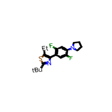 CCc1sc(C(C)(C)C)nc1-c1cc(F)c(N2CCCC2)cc1F